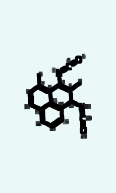 CC1=C(N=C=O)c2c(C)ccc3cccc(c23)C1N=C=O